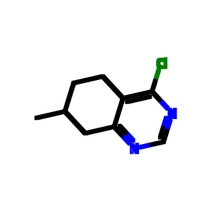 CC1CCc2c(Cl)ncnc2C1